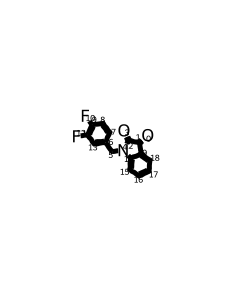 O=C1C(=O)N(Cc2ccc(F)c(F)c2)c2ccccc21